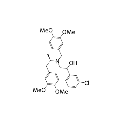 COc1ccc(C[C@@H](C)N(Cc2ccc(OC)c(OC)c2)CC(O)c2cccc(Cl)c2)cc1OC